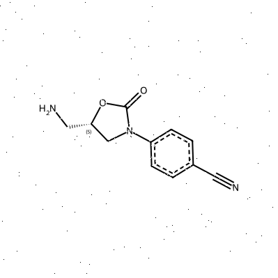 N#Cc1ccc(N2C[C@H](CN)OC2=O)cc1